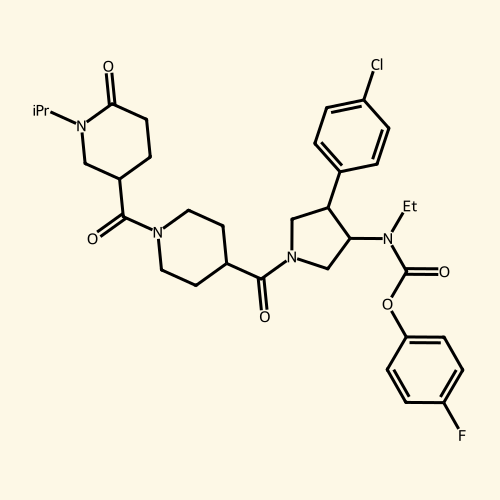 CCN(C(=O)Oc1ccc(F)cc1)C1CN(C(=O)C2CCN(C(=O)C3CCC(=O)N(C(C)C)C3)CC2)CC1c1ccc(Cl)cc1